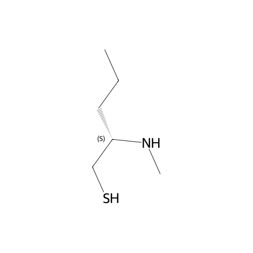 CCC[C@@H](CS)NC